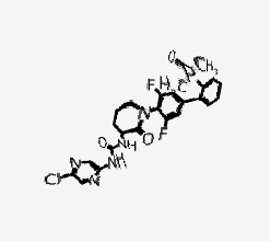 CP(C)(=O)c1ccccc1-c1cc(F)c(N2CCCC(NC(=O)Nc3cnc(Cl)cn3)C2=O)c(F)c1